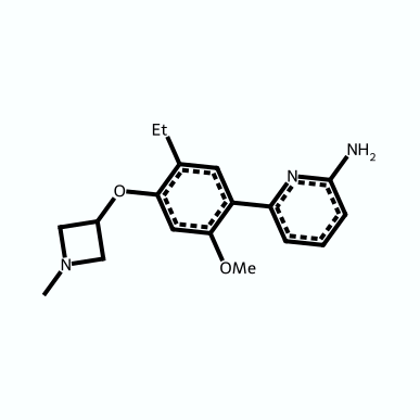 CCc1cc(-c2cccc(N)n2)c(OC)cc1OC1CN(C)C1